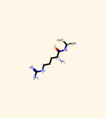 CCCC[C@H]([C]=O)NC(=O)[C@H](N)CCCNC(=N)N